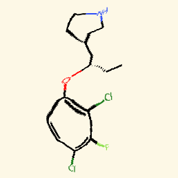 CC[C@H](Oc1ccc(Cl)c(F)c1Cl)[C@H]1CCNC1